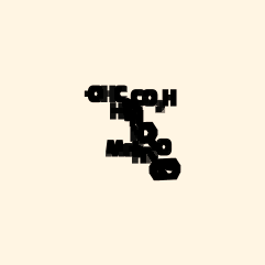 CSc1nc(N2C[C@H]3C([C]=O)[C@@]3(C(=O)O)C2)ccc1C(=O)NC1C2CC3CC(C2)CC1C3